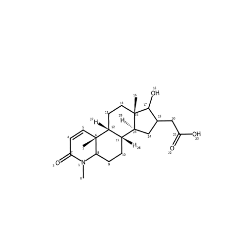 CN1C(=O)C=C[C@@]2(C)C1CC[C@@H]1[C@H]2CC[C@]2(C)C(O)C(CC(=O)O)C[C@@H]12